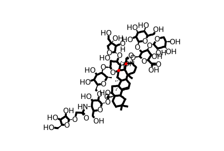 C[C@H]1O[C@@H](COC2C(O)[C@@H](NC(=O)CO[C@@H]3O[C@@H](CO)C(O)C3O)C(CO)O[C@H]2OC(=O)[C@]23CCC(C)(C)CC2C2=CCC4C5(C)CC[C@H](O[C@@H]6OC(C(=O)O)[C@@H](O)[C@H](O[C@@H]7OC[C@@H](O)[C@H](O)C7O)C6O[C@@H]6OC(CO)[C@H](O)[C@H](O)C6O)[C@](C)(C=O)[C@@H]5CC[C@]4(C)[C@]2(C)CC3O)C(O)C(O)[C@H]1O[C@@H]1OC[C@@H](O)C(O[C@@H]2OC[C@@](O)(CO)C2O)C1O